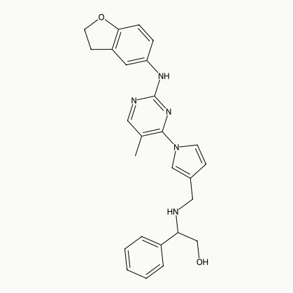 Cc1cnc(Nc2ccc3c(c2)CCO3)nc1-n1ccc(CNC(CO)c2ccccc2)c1